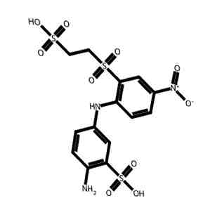 Nc1ccc(Nc2ccc([N+](=O)[O-])cc2S(=O)(=O)CCS(=O)(=O)O)cc1S(=O)(=O)O